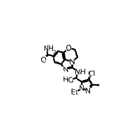 CCn1nc(C)c(Cl)c1C(O)Nc1nc2cc(C(N)=O)cc3c2n1CCO3